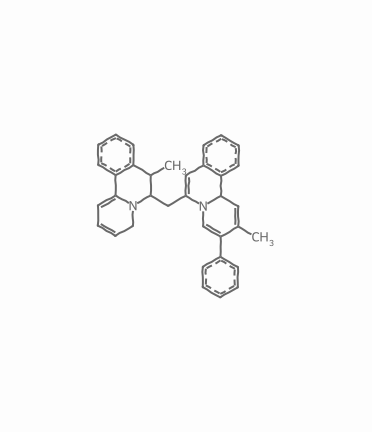 CC1=CC2c3ccccc3C=C(CC3C(C)c4ccccc4C4=CC=CCN43)N2C=C1c1ccccc1